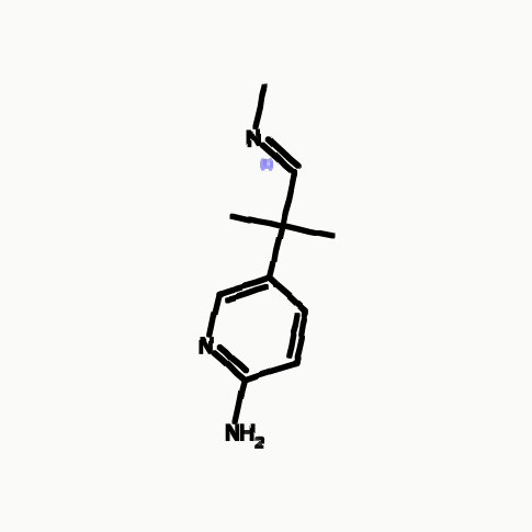 C/N=C/C(C)(C)c1ccc(N)nc1